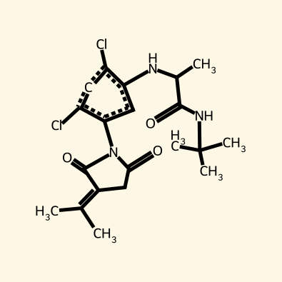 CC(C)=C1CC(=O)N(c2cc(NC(C)C(=O)NC(C)(C)C)c(Cl)cc2Cl)C1=O